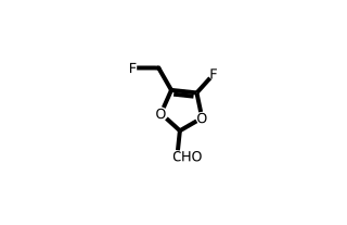 O=CC1OC(F)=C(CF)O1